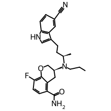 CCCN([C@@H]1COc2c(F)ccc(C(N)=O)c2C1)[C@H](C)CCc1c[nH]c2ccc(C#N)cc12